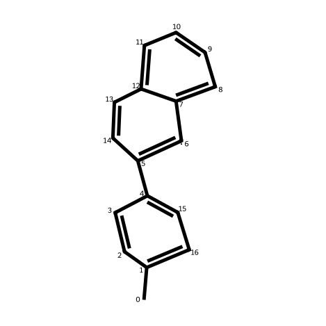 Cc1ccc(-c2[c]c3ccccc3cc2)cc1